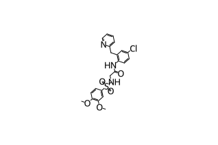 COc1ccc(S(=O)(=O)NCC(=O)Nc2ccc(Cl)cc2Cc2ccccn2)cc1OC